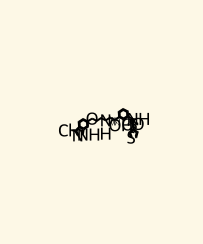 O=S(=O)(Nc1cccc([C@@H](O)CNCCOc2ccc3c(Cl)n[nH]c3c2)c1)c1ccsc1